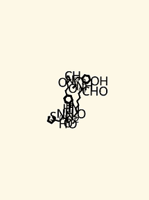 CN(C(=O)CCc1ccc(F)cc1)[C@@H](Cc1ccc(O)cc1)C(=O)N[C@@H]([C]=O)CCCCNC(=O)[C@H](CO)NC(=O)[C@@H](N)Cc1cccs1